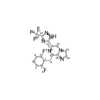 Fc1cccc(F)c1Cc1nc(-c2nc(C(F)(F)F)n[nH]2)cn2ccnc12